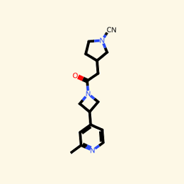 Cc1cc(C2CN(C(=O)CC3CCN(C#N)C3)C2)ccn1